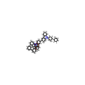 c1ccc(-c2ccc(-n3c4ccccc4c4cc(-c5ccc6c(c5)c5ccccc5n6-c5ccccc5C5(c6ccccc6)c6ccccc6-c6ccccc65)ccc43)cc2)cc1